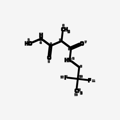 CC(C(=O)NO)C(=O)NCC(F)(F)C(F)(F)F